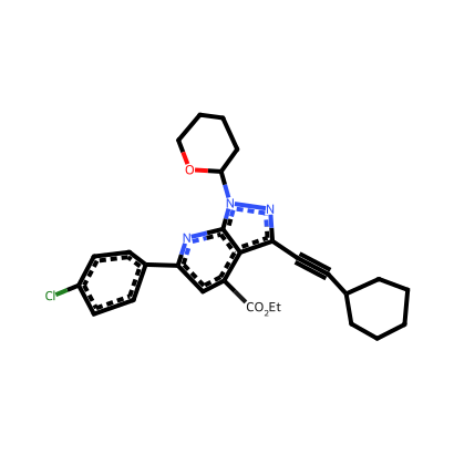 CCOC(=O)c1cc(-c2ccc(Cl)cc2)nc2c1c(C#CC1CCCCC1)nn2C1CCCCO1